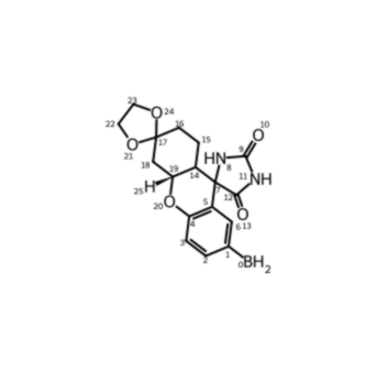 Bc1ccc2c(c1)C1(NC(=O)NC1=O)C1CCC3(C[C@H]1O2)OCCO3